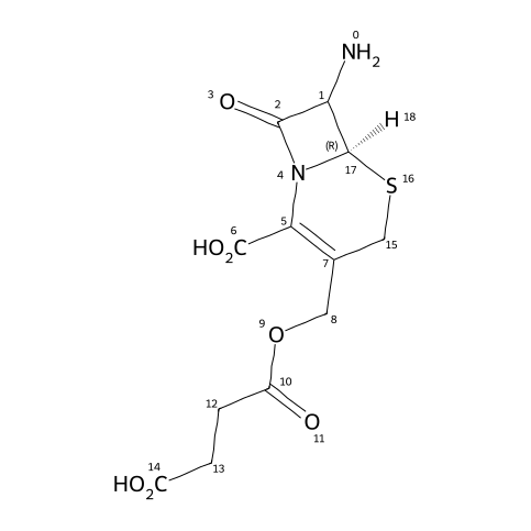 NC1C(=O)N2C(C(=O)O)=C(COC(=O)CCC(=O)O)CS[C@H]12